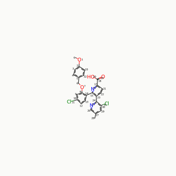 COc1ccc(COc2cc(Cl)ccc2-c2nc(C(=O)O)ccc2-c2ncc(C)cc2Cl)cc1